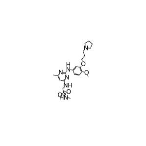 CNS(=O)(=O)CNc1cc(C)nc(Nc2ccc(OC)c(OCCCN3CCCC3)c2)n1